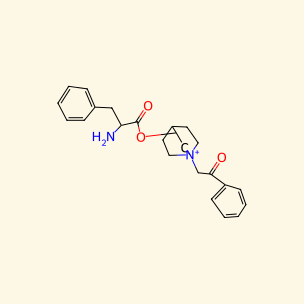 NC(Cc1ccccc1)C(=O)OC1C[N+]2(CC(=O)c3ccccc3)CCC1CC2